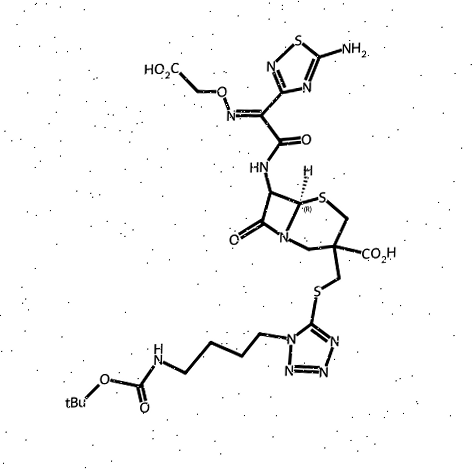 CC(C)(C)OC(=O)NCCCCn1nnnc1SCC1(C(=O)O)CS[C@@H]2C(NC(=O)C(=NOCC(=O)O)c3nsc(N)n3)C(=O)N2C1